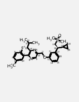 Cc1ccc(F)c(-c2ncc(COc3cccc([C@@H](CP(C)(C)=O)C4CC4)c3)nc2CC(C)C)c1